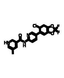 CC1=CNCC(C(=O)Nc2ccc(C3=CC4=C(CC3Cl)OC(F)(F)O4)cn2)=C1